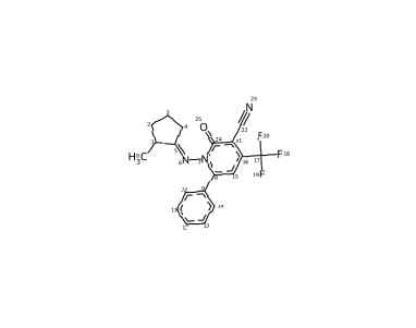 CC1CCCC1=Nn1c(-c2ccccc2)cc(C(F)(F)F)c(C#N)c1=O